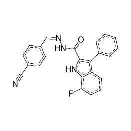 N#Cc1ccc(/C=N\NC(=O)c2[nH]c3c(F)cccc3c2-c2ccccc2)cc1